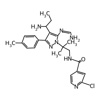 CCC(N)c1c(-c2ccc(C)cc2)nn(C(C)(C)CNC(=O)c2ccnc(Cl)c2)c1/N=C\N